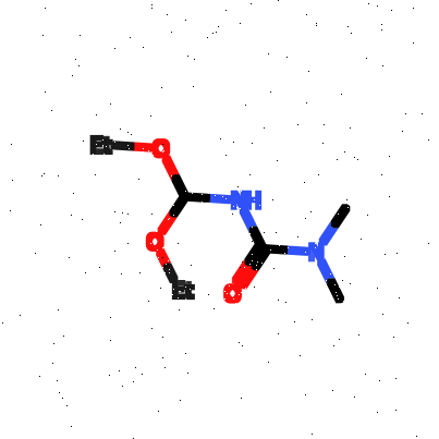 CCOC(NC(=O)N(C)C)OCC